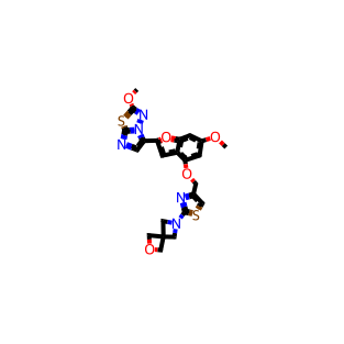 COc1cc(OCc2csc(N3CC4(COC4)C3)n2)c2cc(-c3cnc4sc(OC)nn34)oc2c1